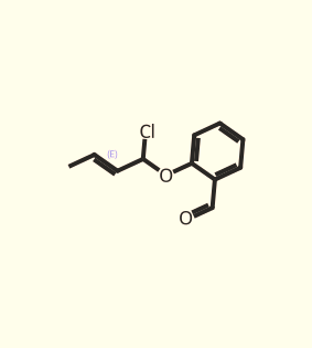 C/C=C/C(Cl)Oc1ccccc1C=O